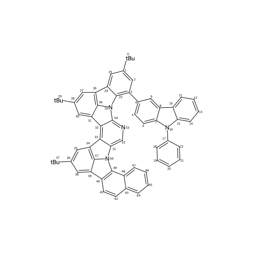 CC(C)(C)c1cc(-c2ccc3c(c2)c2ccccc2n3-c2ccccc2)c2c(c1)c1cc(C(C)(C)C)cc3c4c5c6cc(C(C)(C)C)cc7c8ccc9ccccc9c8n(c5cnc4n2c13)c76